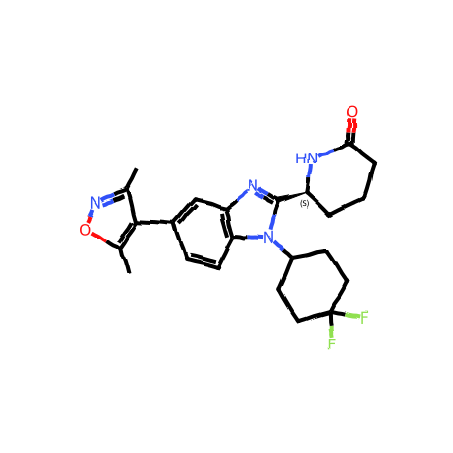 Cc1noc(C)c1-c1ccc2c(c1)nc([C@@H]1CCCC(=O)N1)n2C1CCC(F)(F)CC1